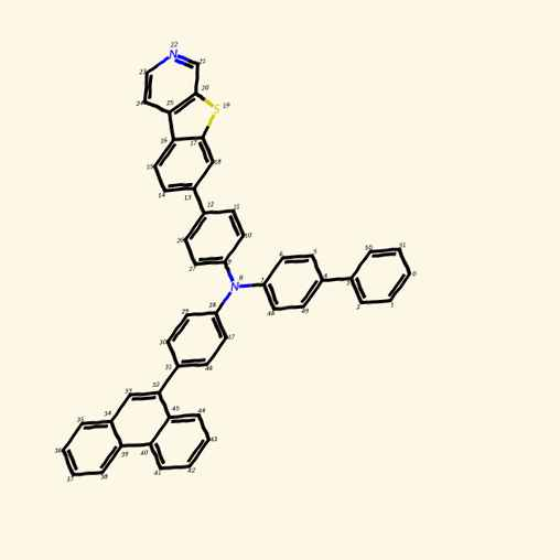 c1ccc(-c2ccc(N(c3ccc(-c4ccc5c(c4)sc4cnccc45)cc3)c3ccc(-c4cc5ccccc5c5ccccc45)cc3)cc2)cc1